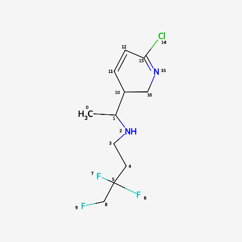 CC(NCCC(F)(F)CF)C1C=CC(Cl)=NC1